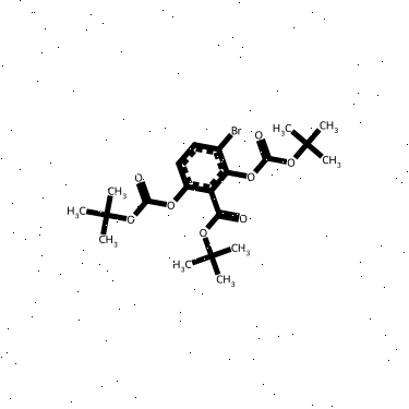 CC(C)(C)OC(=O)Oc1ccc(Br)c(OC(=O)OC(C)(C)C)c1C(=O)OC(C)(C)C